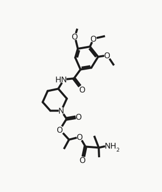 COc1cc(C(=O)NC2CCCN(C(=O)OC(C)OC(=O)C(C)(C)N)C2)cc(OC)c1OC